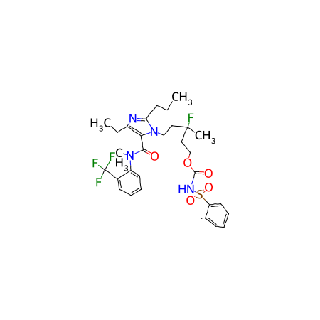 CCCc1nc(CC)c(C(=O)N(C)c2ccccc2C(F)(F)F)n1CCC(C)(F)CCOC(=O)NS(=O)(=O)c1[c]cccc1